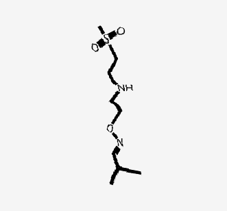 CC(C)/C=N/OCCNCCS(C)(=O)=O